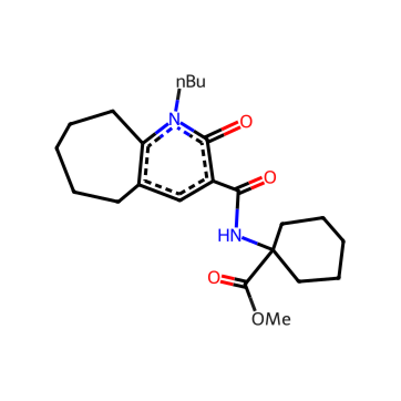 CCCCn1c2c(cc(C(=O)NC3(C(=O)OC)CCCCC3)c1=O)CCCCC2